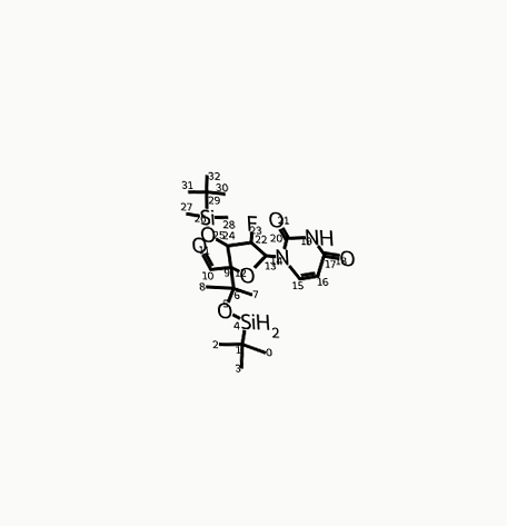 CC(C)(C)[SiH2]OC(C)(C)C1(C=O)OC(n2ccc(=O)[nH]c2=O)C(F)C1O[Si](C)(C)C(C)(C)C